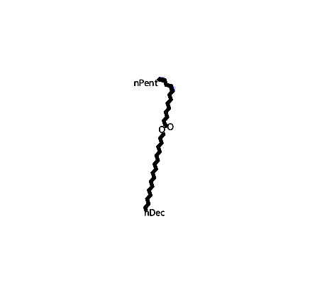 CCCCC/C=C\C/C=C\CCCCCCCC(=O)OCCCCCCCCCCCCCCCCCCCCCCCCCCCC